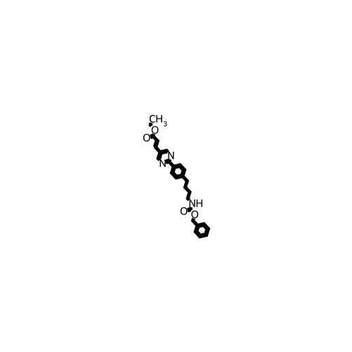 CCOC(=O)/C=C/c1cnc(-c2ccc(CCCCNC(=O)OCc3ccccc3)cc2)nc1